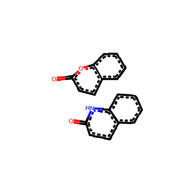 O=c1ccc2ccccc2[nH]1.O=c1ccc2ccccc2o1